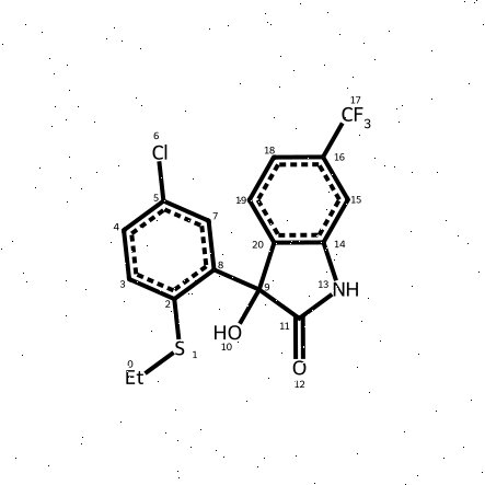 CCSc1ccc(Cl)cc1C1(O)C(=O)Nc2cc(C(F)(F)F)ccc21